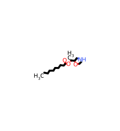 CCCCCCCCCC(=O)OC(C)C1CNCCO1